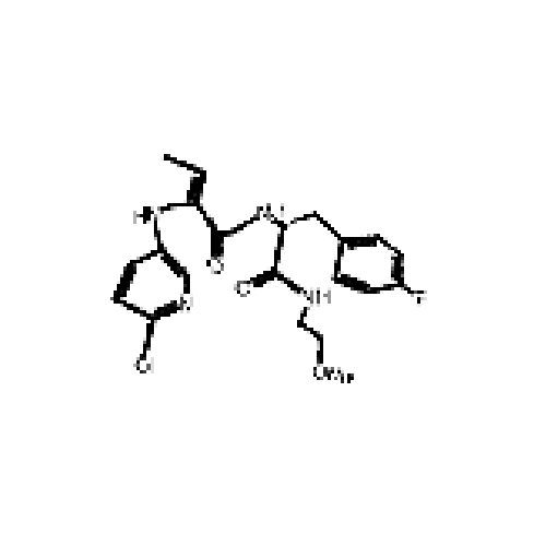 C/C=C(\Nc1ccc(Cl)nc1)C(=O)N[C@@H](Cc1ccc(F)cc1)C(=O)NCCOC